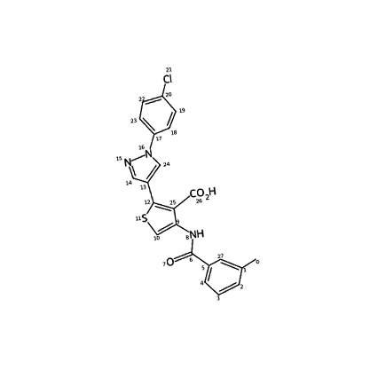 Cc1cccc(C(=O)Nc2csc(-c3cnn(-c4ccc(Cl)cc4)c3)c2C(=O)O)c1